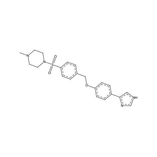 CN1CCN(S(=O)(=O)c2ccc(COc3ccc(-c4c[nH]cn4)cc3)cc2)CC1